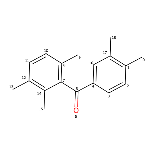 Cc1ccc(C(=O)c2c(C)ccc(C)c2C)cc1C